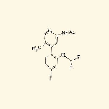 CC(=O)Nc1cc(-c2ccc(F)cc2OC(F)F)c(C)cn1